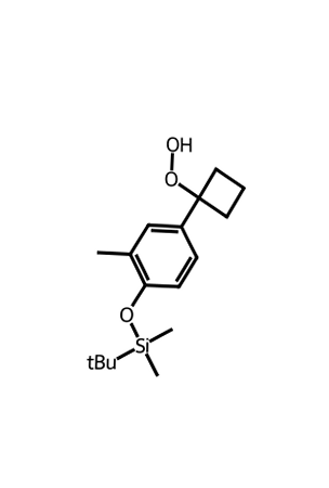 Cc1cc(C2(OO)CCC2)ccc1O[Si](C)(C)C(C)(C)C